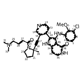 COc1c(Cl)cccc1Nc1c(-c2ccncc2C#C[C@]2(C)CCCN2C(=O)/C=C/CN(C)C)[nH]c2cc[nH]c(=O)c12